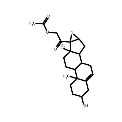 CC(=O)OCC(=O)C12OC1CC1C3CC=C4CC(O)CCC4(C)C3CCC12C